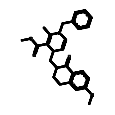 COC(=O)C1=C(C)N(Cc2ccccc2)C=CC1CC1CCc2cc(OC)ccc2C1=O